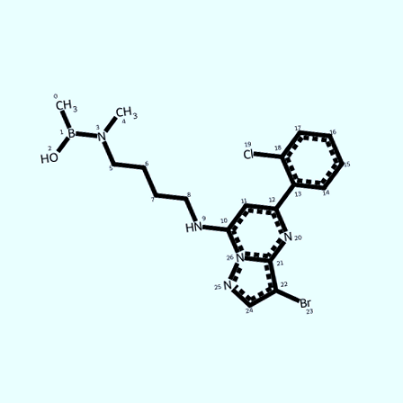 CB(O)N(C)CCCCNc1cc(-c2ccccc2Cl)nc2c(Br)cnn12